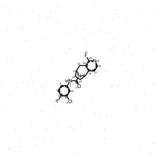 O=C(Nc1ccc(F)c(Cl)c1)N1C2CCC1c1ccnc(F)c1C2